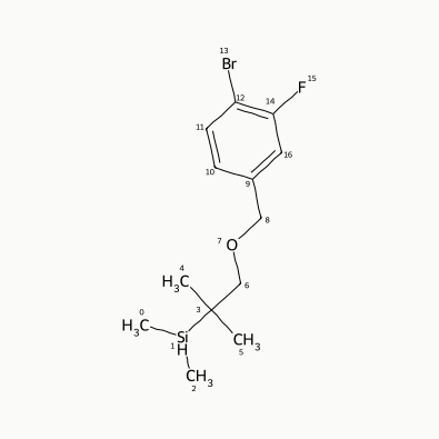 C[SiH](C)C(C)(C)COCc1ccc(Br)c(F)c1